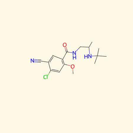 COc1cc(Cl)c(C#N)cc1C(=O)NCC(C)NC(C)(C)C